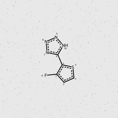 Fc1ccsc1-c1nnn[nH]1